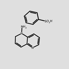 NN1CC=Cc2ncccc21.O=S(=O)(O)c1ccccc1